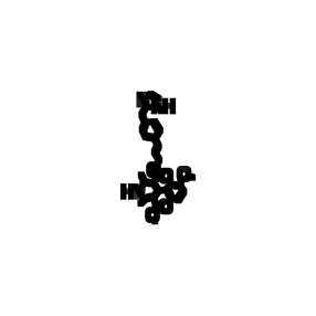 COC(=O)C1=C(C)NC(C)=C(C(=O)OCC=Cc2ccc(Cc3ncc[nH]3)cc2)C1c1cccc(OC)c1